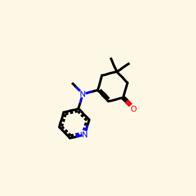 CN(C1=CC(=O)CC(C)(C)C1)c1cccnc1